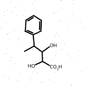 CC(c1ccccc1)C(O)C(O)C(=O)O